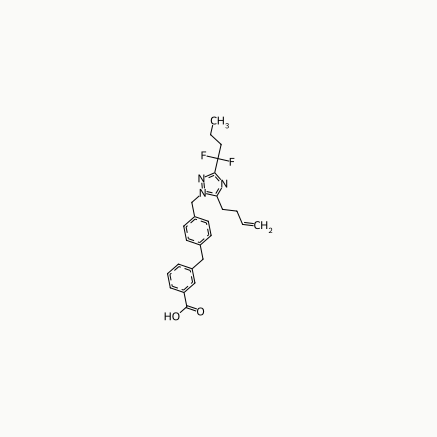 C=CCCc1nc(C(F)(F)CCC)nn1Cc1ccc(Cc2cccc(C(=O)O)c2)cc1